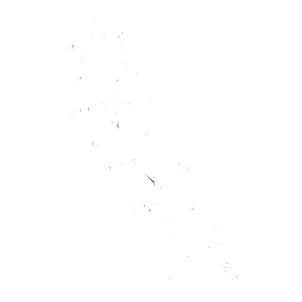 Cc1cc(NC(=O)[C@H]2CCN(S(=O)(=O)C3CCOCC3)C2)ccc1F